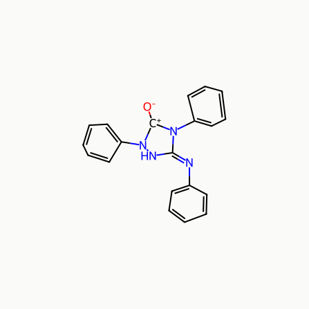 [O-][c+]1n(-c2ccccc2)[nH]c(=Nc2ccccc2)n1-c1ccccc1